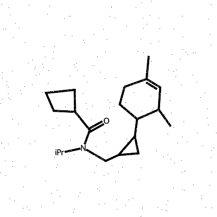 CC1=CC(C)C(C2CC2CN(C(=O)C2CCC2)C(C)C)CC1